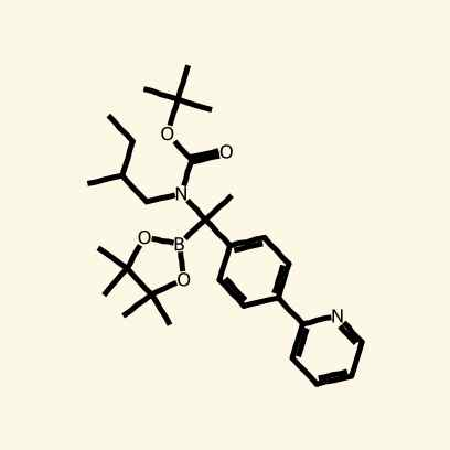 CCC(C)CN(C(=O)OC(C)(C)C)C(C)(B1OC(C)(C)C(C)(C)O1)c1ccc(-c2ccccn2)cc1